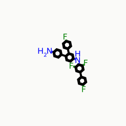 Nc1ccc(-c2ccc(Nc3c(F)cc(-c4ccc(F)cc4)cc3F)cc2-c2ccc(F)cc2)cc1